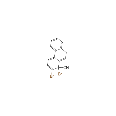 N#CC1(Br)C(Br)=CC=C2C1=CCc1ccccc12